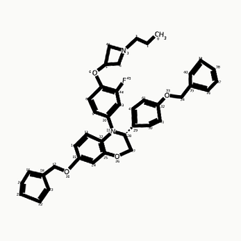 CCCN1CC(Oc2ccc(N3c4ccc(OCc5ccccc5)cc4OC[C@H]3c3ccc(OCc4ccccc4)cc3)cc2F)C1